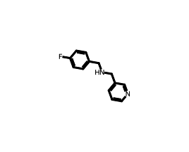 Fc1ccc(CNCc2cccnc2)cc1